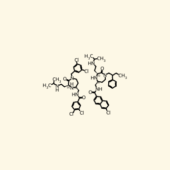 CC(C)NCC[C@@H]1N[C@H](CNC(=O)c2ccc(Cl)c(Cl)c2)CCN(Cc2cc(Cl)cc(Cl)c2)C1=O.CCC(CN1CC[C@@H](CNC(=O)c2ccc3cc(Cl)ccc3c2)N[C@@H](CCNC(C)C)C1=O)c1ccccc1